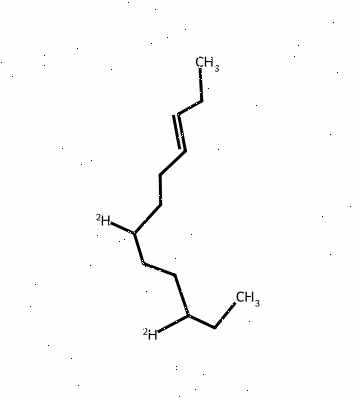 [2H]C(CC)CCC([2H])CCC=CCC